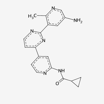 Cc1ncc(N)cc1-c1nccc(-c2ccnc(NC(=O)C3CC3)c2)n1